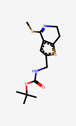 CSC1=NCCc2sc(CNC(=O)OC(C)(C)C)cc21